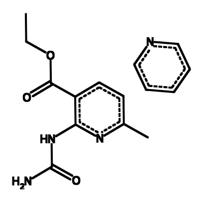 CCOC(=O)c1ccc(C)nc1NC(N)=O.c1ccncc1